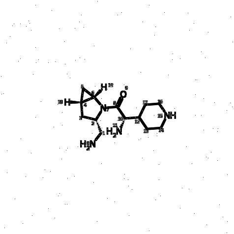 NC[C@@H]1C[C@@H]2C[C@@H]2N1C(=O)[C@@H](N)C1CCNCC1